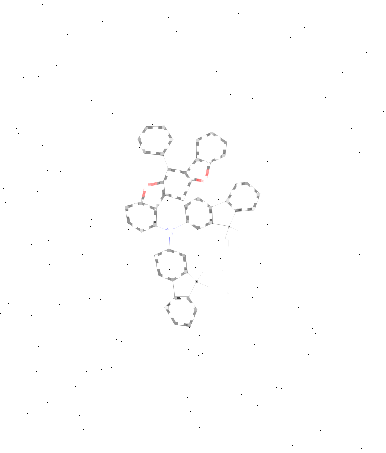 CC1(C)c2ccccc2-c2ccc(N(c3ccc4c(c3)C(C)(C)c3ccccc3-4)c3cccc4oc5c(-c6ccccc6)c6c(cc5c34)oc3ccccc36)cc21